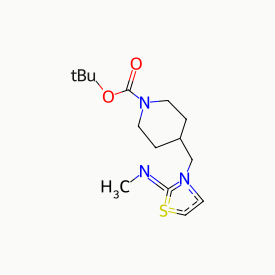 CN=c1sccn1CC1CCN(C(=O)OC(C)(C)C)CC1